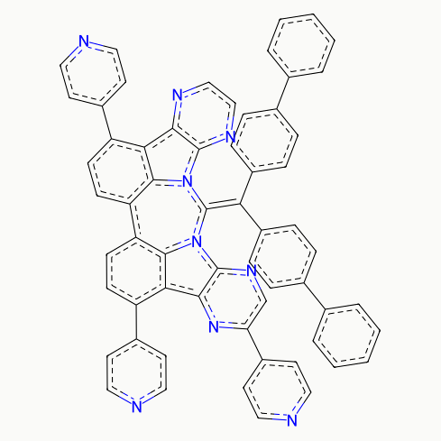 c1ccc(-c2ccc(C(c3ccc(-c4ccccc4)cc3)=c3n4c5nccnc5c5c(-c6ccncc6)ccc(c6ccc(-c7ccncc7)c7c8nc(-c9ccncc9)cnc8n3c67)c54)cc2)cc1